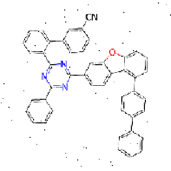 N#Cc1cccc(-c2ccccc2-c2nc(-c3ccccc3)nc(-c3ccc4c(c3)oc3cccc(-c5ccc(-c6ccccc6)cc5)c34)n2)c1